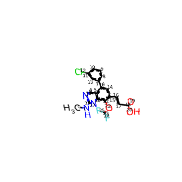 CNc1ncc2c(-c3cccc(Cl)c3)cc(C=CC(=O)O)c(OC(F)F)c2n1